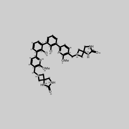 COc1nc(-c2cccc(-c3cccc(-c4ccc(CN5CC6(CNC(=O)N6)C5)c(OC)n4)c3Cl)c2Cl)ccc1CN1CC2(CNC(=O)N2)C1